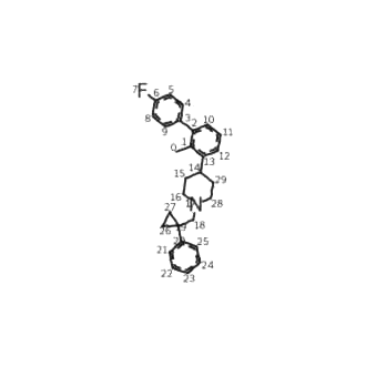 Cc1c(-c2ccc(F)cc2)cccc1C1CCN(CC2(c3ccccc3)CC2)CC1